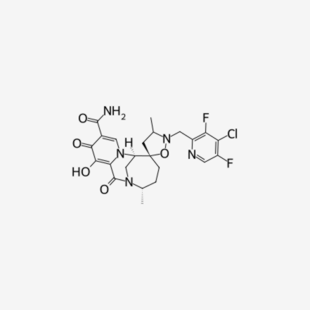 CC1C[C@]2(CC[C@H](C)N3C[C@H]2n2cc(C(N)=O)c(=O)c(O)c2C3=O)ON1Cc1ncc(F)c(Cl)c1F